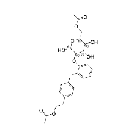 CC(=O)OCCc1ccc(Cc2ccccc2O[C@@H]2[C@@H](O)[C@H](O)[C@@H](COC(C)=O)O[C@H]2O)cc1